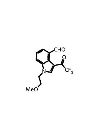 COCCn1cc(C(=O)C(F)(F)F)c2c(C=O)cccc21